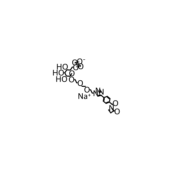 O=C1CCN1C(=O)c1ccc(-c2cn(CCOCCOCCOC3OC(COS(=O)(=O)[O-])C(O)C(O)C3O)nn2)cc1.[Na+]